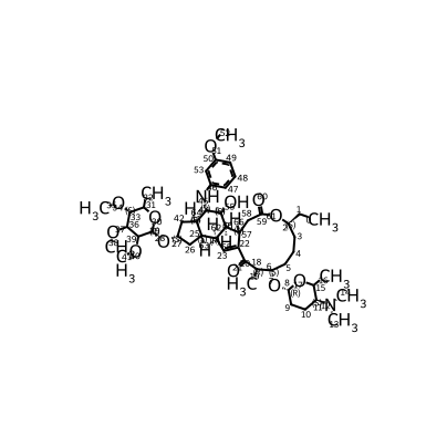 CC[C@H]1CCC[C@H](O[C@H]2CC[C@H](N(C)C)C(C)O2)[C@@H](C)C(=O)C2=C[C@H]3[C@@H]4C[C@H](O[C@@H]5OC(C)[C@H](OC)C(OC)C5OC)C[C@H]4[C@H](Nc4cccc(OC)c4)[C@@H](O)[C@H]3[C@@H]2CC(=O)O1